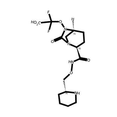 O=C(NOC[C@H]1CCCCN1)[C@@H]1CC[C@H]2CN1C(=O)N2OC(F)(F)C(=O)O